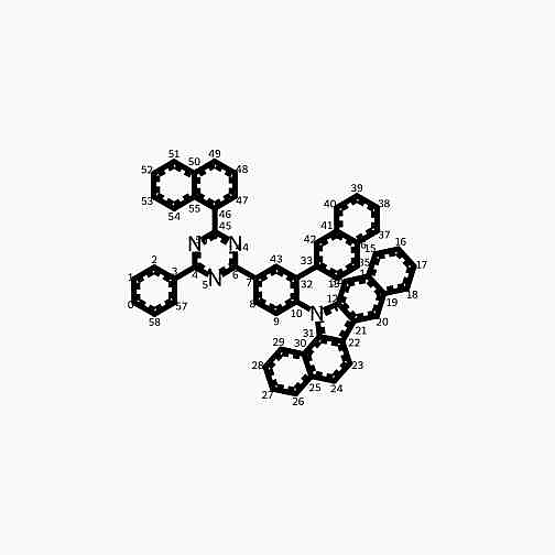 c1ccc(-c2nc(-c3ccc(-n4c5cc6ccccc6cc5c5ccc6ccccc6c54)c(-c4ccc5ccccc5c4)c3)nc(-c3cccc4ccccc34)n2)cc1